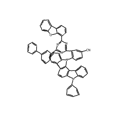 N#Cc1ccc(-n2c3ccccc3c3ccc4c(c5ccccc5n4-c4ccccc4)c32)c(-c2nc(-c3cccc(-c4ccccc4)c3)nc(-c3cccc4c3oc3ccccc34)n2)c1